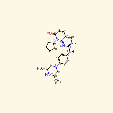 CC1CN(c2ccc(Nc3nnc4ccc(=O)n(C5CCCC5)c4n3)cc2)CC(C)N1